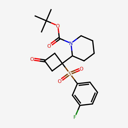 CC(C)(C)OC(=O)N1CCCCC1C1(S(=O)(=O)c2cccc(F)c2)CC(=O)C1